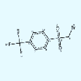 O=S(=O)(CBr)c1ccc(C(F)(F)F)cc1